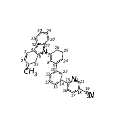 CC1C=Cc2c(n(C3=CC(c4cccc(-c5ccc(C#N)cn5)c4)=CCC3)c3ccccc23)C1